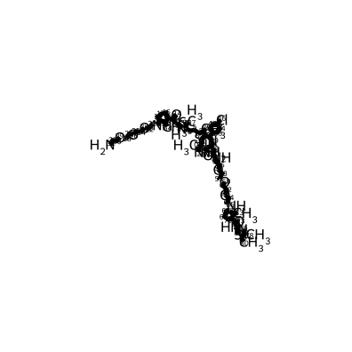 CC(=N)N1c2sc(CCc3nc(NC(=O)c4cccc(NCCOCCOCCOCCN)c4C)sc3C)c(C)c2C(c2ccc(Cl)cc2)=N[C@@H](CC(=O)NCCOCCOCCOCCNc2cccc(C(=O)Nc3nc(C)c(C)s3)c2C)C1N